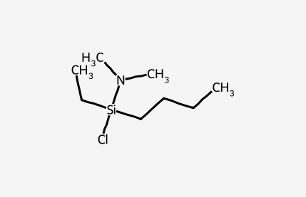 CCCC[Si](Cl)(CC)N(C)C